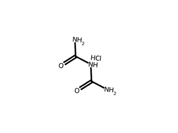 Cl.NC(=O)NC(N)=O